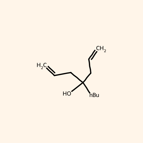 C=CCC(O)(CC=C)CCCC